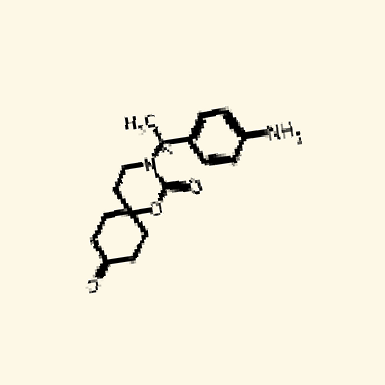 C[C@@H](c1ccc(N)cc1)N1CCC2(CCC(=O)CC2)OC1=O